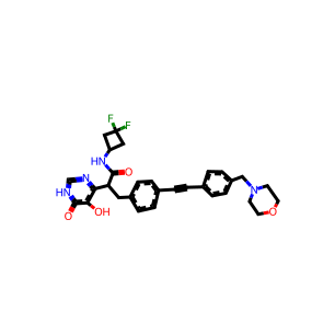 O=C(NC1CC(F)(F)C1)C(Cc1ccc(C#Cc2ccc(CN3CCOCC3)cc2)cc1)c1nc[nH]c(=O)c1O